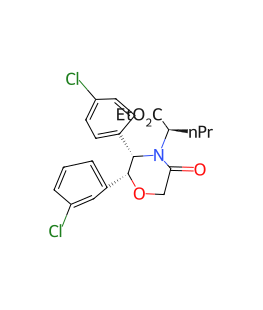 CCC[C@H](C(=O)OCC)N1C(=O)CO[C@H](c2cccc(Cl)c2)[C@@H]1c1ccc(Cl)cc1